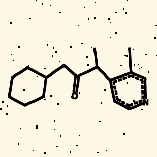 Cc1cnccc1C(C)C(=O)CC1CCCCC1